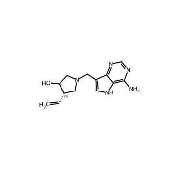 C=C[C@H]1CN(Cc2c[nH]c3c(N)ncnc23)CC1O